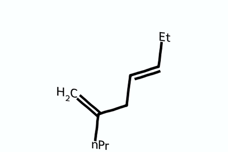 C=C(CC=CCC)CCC